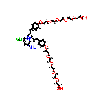 Cl.NC1CCC[N+](CCCc2ccc(OCCOCCOCCOCCOCCO)cc2)(CCCc2ccc(OCCOCCOCCOCCOCCO)cc2)C1.[Cl-]